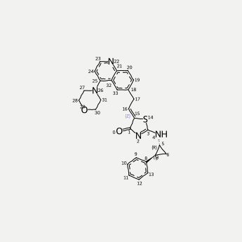 O=C1N=C(N[C@@H]2C[C@H]2c2ccccc2)S/C1=C\Cc1ccc2nccc(N3CCOCC3)c2c1